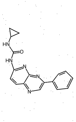 O=C(Nc1ccc2ncc(-c3ccccc3)nc2n1)NC1CC1